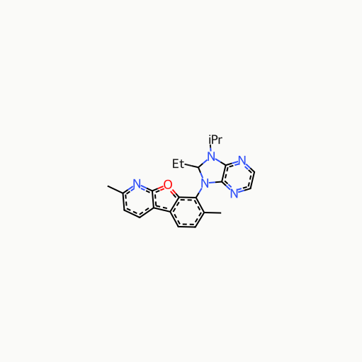 CCC1N(c2c(C)ccc3c2oc2nc(C)ccc23)c2nccnc2N1C(C)C